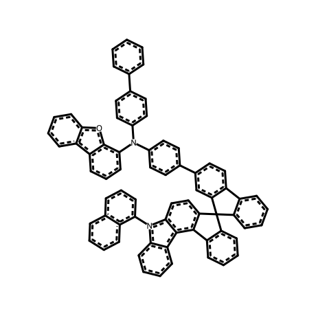 c1ccc(-c2ccc(N(c3ccc(-c4ccc5c(c4)C4(c6ccccc6-5)c5ccccc5-c5c4ccc4c5c5ccccc5n4-c4cccc5ccccc45)cc3)c3cccc4c3oc3ccccc34)cc2)cc1